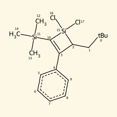 CC(C)(C)CC1C(c2ccccc2)=C([Si](C)(C)C)[Si]1(Cl)Cl